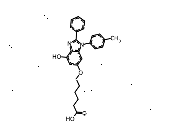 Cc1ccc(-n2c(-c3ccccc3)nc3c(O)cc(OCCCCCC(=O)O)cc32)cc1